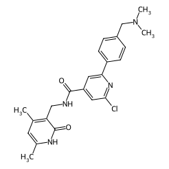 Cc1cc(C)c(CNC(=O)c2cc(Cl)nc(-c3ccc(CN(C)C)cc3)c2)c(=O)[nH]1